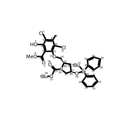 COC(=O)c1c(O)c(Cl)c(C)c(Cl)c1OC[C@H]1C[C@@H](O[Si](c2ccccc2)(c2ccccc2)C(C)(C)C)CN1C(=O)OC(C)(C)C